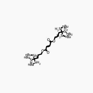 CCCC[SiH2]C(CCCOC(=O)/C=C/C(=O)OCCCC([SiH2]CCCC)([SiH2]CCCC)[SiH2]CCCC)([SiH2]CCCC)[SiH2]CCCC